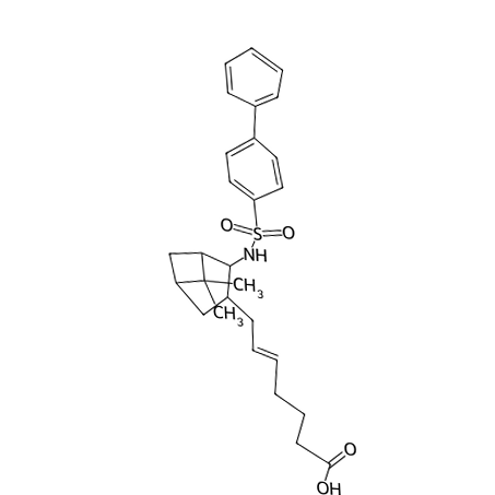 CC1(C)C2CC(C/C=C/CCCC(=O)O)C(NS(=O)(=O)c3ccc(-c4ccccc4)cc3)C1C2